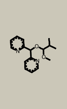 COC(OC(c1ccccn1)c1ccccn1)C(C)C